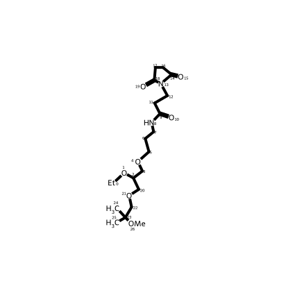 CCOC(COCCCNC(=O)CCN1C(=O)CCC1=O)COCC(C)(C)OC